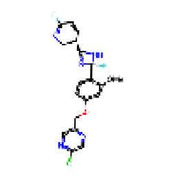 COc1cc(OCc2cnc(Cl)cn2)ccc1C1(F)N=C([C@@H]2C=CC(F)=NC2)N1